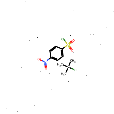 C[Si](C)(C)Cl.O=[N+]([O-])c1ccc(S(=O)(=O)Cl)cc1